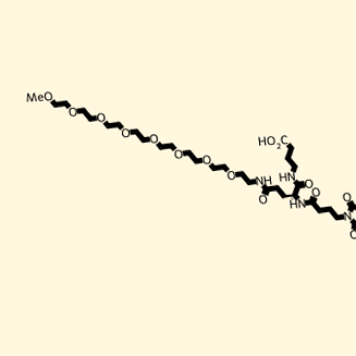 COCCOCCOCCOCCOCCOCCOCCOCCNC(=O)CC[C@H](NC(=O)CCCN1C(=O)C=CC1=O)C(=O)NCCCC(=O)O